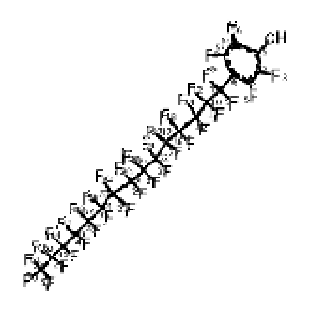 Oc1c(F)c(F)c(C(F)(F)C(F)(F)C(F)(F)C(F)(F)C(F)(F)C(F)(F)C(F)(F)C(F)(F)C(F)(F)C(F)(F)C(F)(F)C(F)(F)C(F)(F)C(F)(F)C(F)(F)F)c(F)c1F